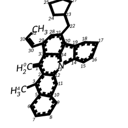 C=c1c2c(C)c3ccccc3cc2n2c3ccccc3c3c(CC4CCCC4)cc(/C=C\C)c1c32